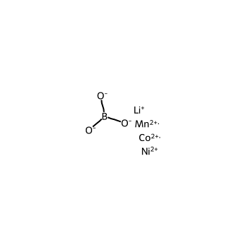 [Co+2].[Li+].[Mn+2].[Ni+2].[O-]B([O-])[O-]